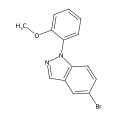 COc1ccccc1-n1ncc2cc(Br)ccc21